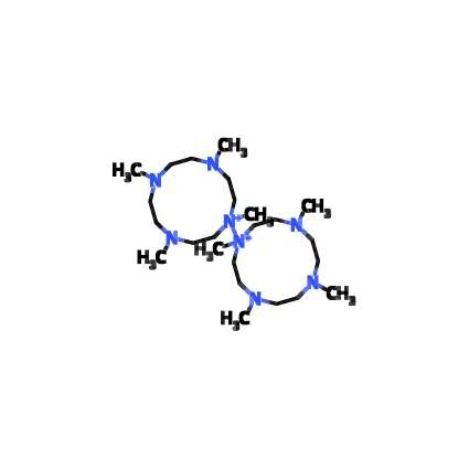 CN1CCN(C)CC[N+](C)([N+]2(C)CCN(C)CCN(C)CCN(C)CC2)CCN(C)CC1